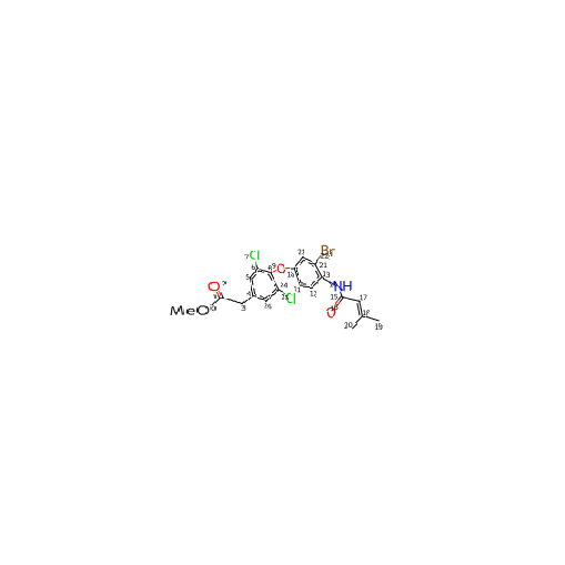 COC(=O)Cc1cc(Cl)c(Oc2ccc(NC(=O)C=C(C)C)c(Br)c2)c(Cl)c1